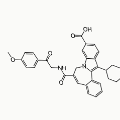 COc1ccc(C(=O)CNC(=O)C2=Cc3ccccc3-c3c(C4CCCCC4)c4ccc(C(=O)O)cc4n3C2)cc1